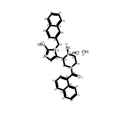 CCCCc1ncc([C@@H]2CN(C(=O)c3cccc4ccccc34)CCN2C(C)=O)n1Cc1ccc2ccccc2c1.Cl.Cl